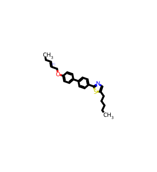 CC/C=C/COc1ccc(-c2ccc(-c3ncc(CCCCC)s3)cc2)cc1